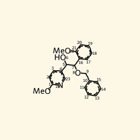 COc1ccc(C(O)C(OCc2ccccc2)c2ccccc2OC)cn1